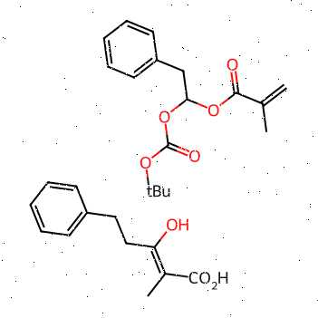 C=C(C)C(=O)OC(Cc1ccccc1)OC(=O)OC(C)(C)C.CC(C(=O)O)=C(O)CCc1ccccc1